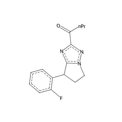 CCCC(=O)c1nc2n(n1)CCC2c1ccccc1F